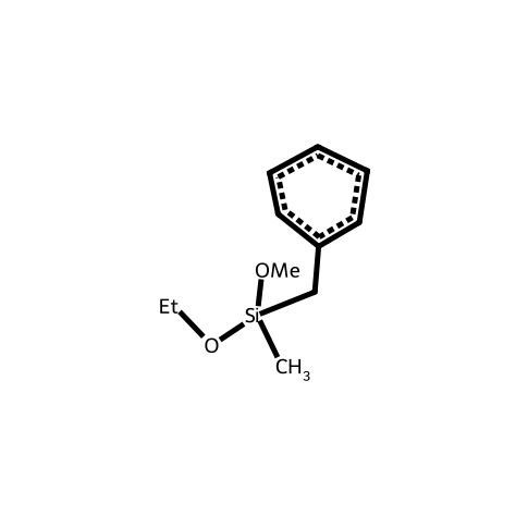 CCO[Si](C)(Cc1ccccc1)OC